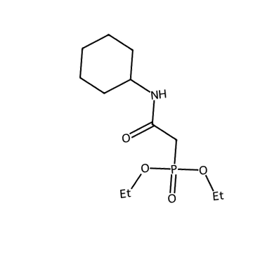 CCOP(=O)(CC(=O)NC1CCCCC1)OCC